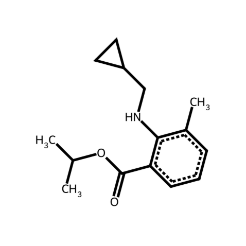 Cc1cccc(C(=O)OC(C)C)c1NCC1CC1